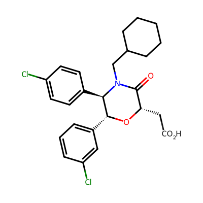 O=C(O)C[C@@H]1O[C@H](c2cccc(Cl)c2)[C@@H](c2ccc(Cl)cc2)N(CC2CCCCC2)C1=O